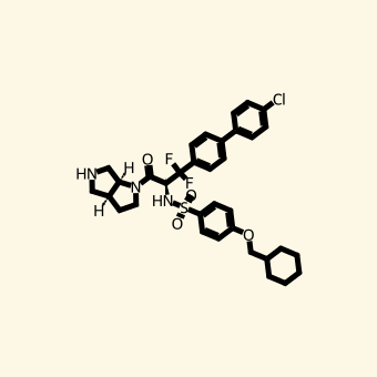 O=C([C@H](NS(=O)(=O)c1ccc(OCC2CCCCC2)cc1)C(F)(F)c1ccc(-c2ccc(Cl)cc2)cc1)N1CC[C@H]2CNC[C@H]21